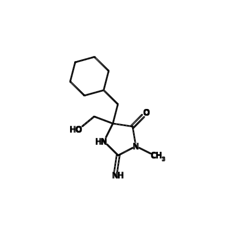 CN1C(=N)NC(CO)(CC2CCCCC2)C1=O